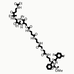 CCC(=O)NCCC(=O)C(C)(CC)NCC(=O)C(C)(CC)NC(COC(=O)NCCC(=O)NCCNC(=O)COCC(=O)NCCC[C@@]1(c2ccccc2)SC(c2cc(F)ccc2F)=NN1C(=O)N(C)OC)C(=O)NC(C)C